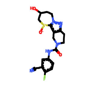 N#Cc1cc(NC(=O)N2CCc3nn4c(c3C2)[S+]([O-])CC(O)CC4)ccc1F